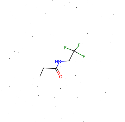 C[CH]C(=O)NCC(F)(F)F